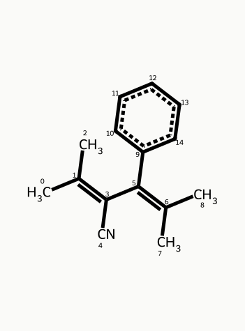 CC(C)=C(C#N)C(=C(C)C)c1ccccc1